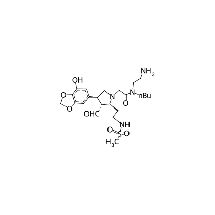 CCCCN(CCN)C(=O)CN1C[C@H](c2cc(O)c3c(c2)OCO3)[C@@H](C=O)[C@@H]1CCNS(C)(=O)=O